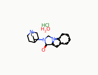 Cl.O.O=C1c2cc3ccccc3n2CN1C1CN2CCC1CC2